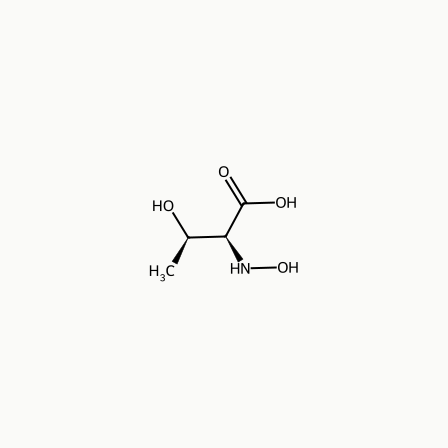 C[C@@H](O)[C@H](NO)C(=O)O